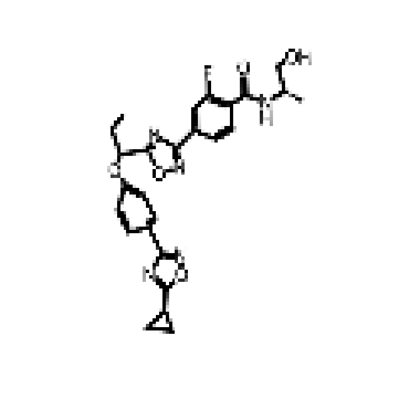 CCC(Oc1ccc(-c2noc(C3CC3)n2)cc1)c1nc(-c2ccc(C(=O)N[C@H](C)CO)c(F)c2)no1